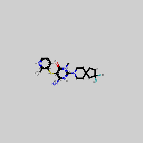 Cn1c(N2CCC3(CC2)CCC(F)(F)C3)nc(N)c(Sc2cccnc2C(F)(F)F)c1=O